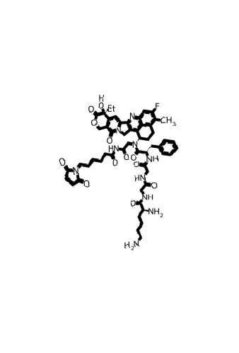 CC[C@@]1(O)C(=O)OCc2c1cc1n(c2=O)Cc2c-1nc1cc(F)c(C)c3c1c2[C@@H](N(CC(=O)NC(=O)CCCCCN1C(=O)C=CC1=O)C(=O)[C@H](Cc1ccccc1)NC(=O)CNC(=O)CNC(=O)[C@@H](N)CCCCN)CC3